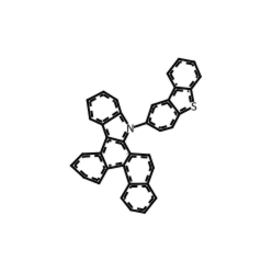 c1ccc2c(c1)ccc1c2c2ccccc2c2c3ccccc3n(-c3ccc4sc5ccccc5c4c3)c12